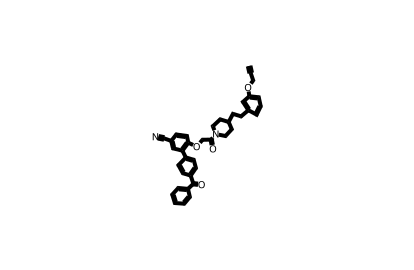 C#CCOc1cccc(CCC2CCN(C(=O)COc3ccc(C#N)cc3-c3ccc(C(=O)c4ccccc4)cc3)CC2)c1